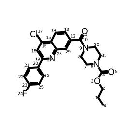 CCCOC(=O)N1CCN(C(=O)c2ccc3c(Cl)cc(-c4ccc(F)cc4)nc3c2)CC1